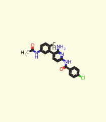 CC(=O)Nc1ccc(C)c(-c2ccc(NC(=O)c3ccc(Cl)cc3)nc2N)c1